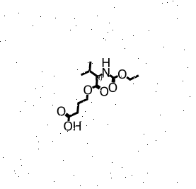 CCOC(=O)N[C@@H](C(=O)OCCCC(=O)O)C(C)C